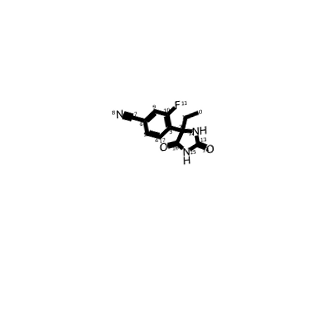 CCC1(c2ccc(C#N)cc2F)NC(=O)NC1=O